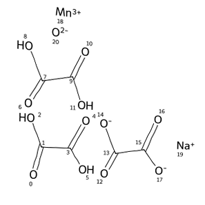 O=C(O)C(=O)O.O=C(O)C(=O)O.O=C([O-])C(=O)[O-].[Mn+3].[Na+].[O-2]